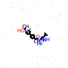 C=CC(O)N1CC=C(c2ccc(C(C)C(=O)Nc3cc(C4CC4)[nH]n3)cc2)CC1